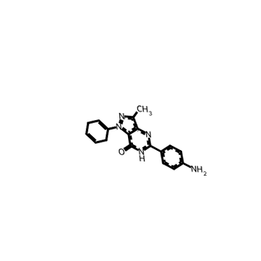 Cc1nn(C2=CCC=CC2)c2c(=O)[nH]c(-c3ccc(N)cc3)nc12